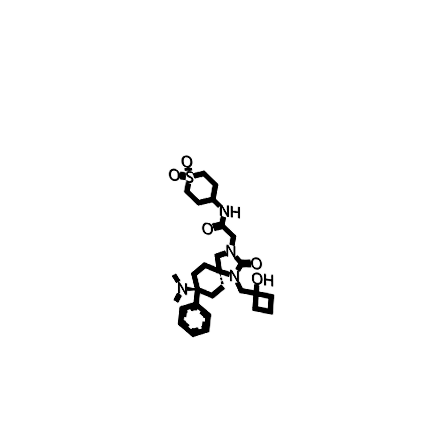 CN(C)[C@]1(c2ccccc2)CC[C@]2(CC1)CN(CC(=O)NC1CCS(=O)(=O)CC1)C(=O)N2CC1(O)CCC1